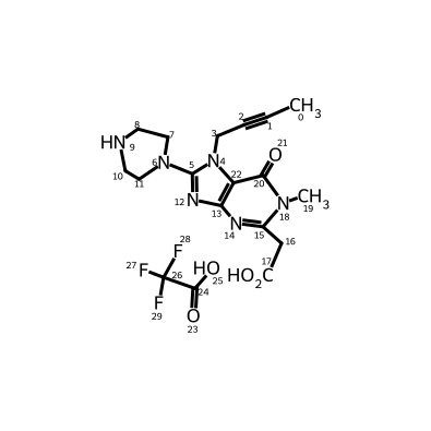 CC#CCn1c(N2CCNCC2)nc2nc(CC(=O)O)n(C)c(=O)c21.O=C(O)C(F)(F)F